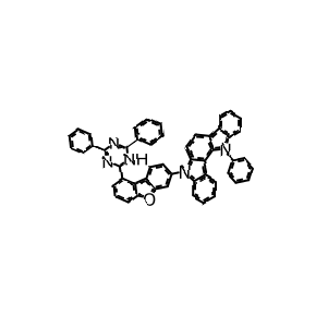 c1ccc(C2=NC(c3cccc4oc5cc(-n6c7ccccc7c7c6ccc6c8ccccc8n(-c8ccccc8)c67)ccc5c34)NC(c3ccccc3)=N2)cc1